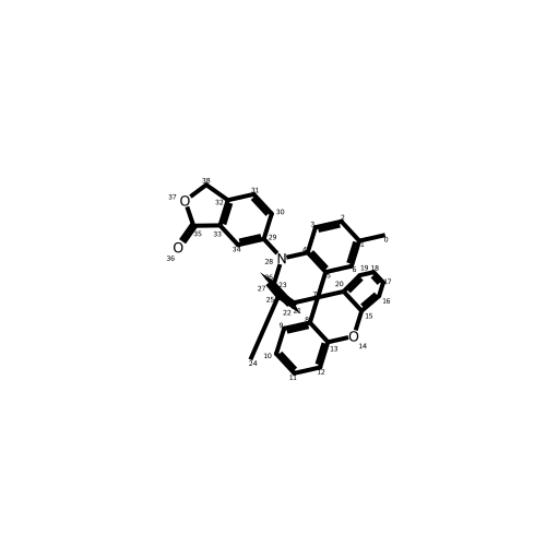 Cc1ccc2c(c1)C1(c3ccccc3Oc3ccccc31)c1cc(C)ccc1N2c1ccc2c(c1)C(=O)OC2